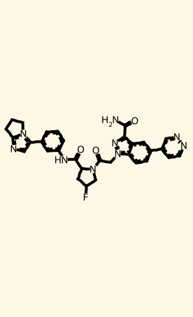 NC(=O)c1nn(CC(=O)N2CC(F)CC2C(=O)Nc2cccc(-c3cnc4n3CCC4)c2)c2ccc(-c3ccnnc3)cc12